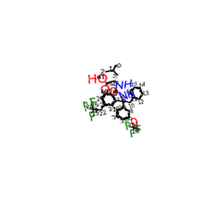 CC(C)C[C@H](NC(=O)NC(Cc1ccccc1)(c1cccc(CC(F)(F)F)c1)c1cccc(OC(F)(F)F)c1)C(=O)O